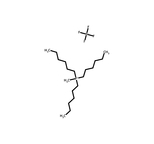 CCCCCC[P+](C)(CCCCCC)CCCCCC.F[B-](F)(F)F